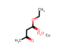 CCOC(=O)CC(C)=O.O.[Cu]